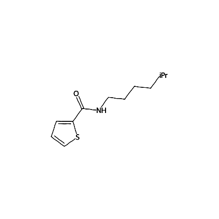 CC(C)CCCCNC(=O)c1cccs1